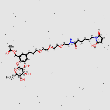 CC(C)(C)C(=O)OCc1cc(CCCOCCOCCOCCNC(=O)CCCCCN2C(=O)C=CC2O)ccc1O[C@@H]1O[C@H](C(=O)O)[C@@H](O)[C@H](O)[C@H]1O